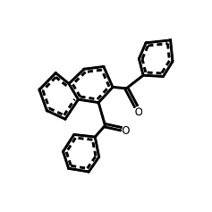 O=C(c1ccccc1)c1ccc2ccccc2c1C(=O)c1ccccc1